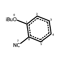 CC(C)COc1ccc[c]c1C#N